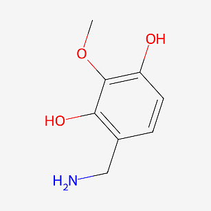 COc1c(O)ccc(CN)c1O